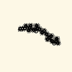 c1ccc2cc3c(ccc4c(-c5c6ccccc6c(-c6ccc7oc8c9cc(-c%10cccc%11c(-c%12ccc(-c%13c%14ccccc%14c(-c%14ccc%15oc%16c%17ccccc%17c%17ccccc%17c%16c%15c%14)c%14ccccc%13%14)cc%12)cccc%10%11)ccc9c9ccccc9c8c7c6)c6ccccc56)cccc43)cc2c1